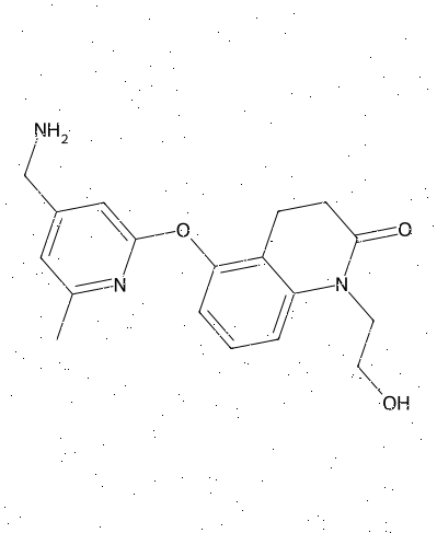 Cc1cc(CN)cc(Oc2cccc3c2CCC(=O)N3CCO)n1